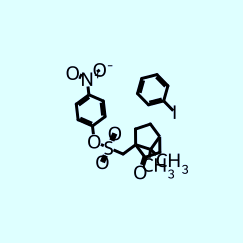 CC1(C)C2CCC1(CS(=O)(=O)Oc1ccc([N+](=O)[O-])cc1)C(=O)C2.Ic1ccccc1